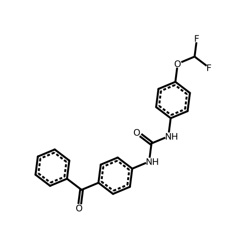 O=C(Nc1ccc(OC(F)F)cc1)Nc1ccc(C(=O)c2ccccc2)cc1